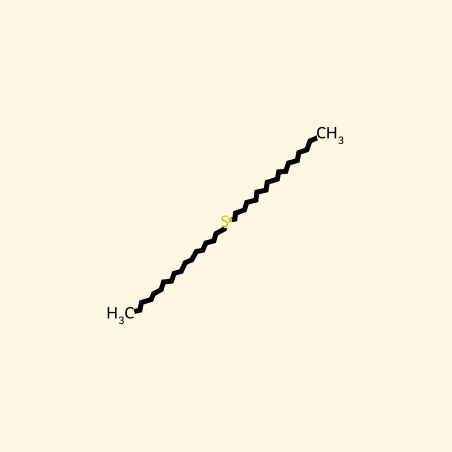 CCCCCCCCCCCCCCCCCCSCCCCCCCCCCCCCCCCCC